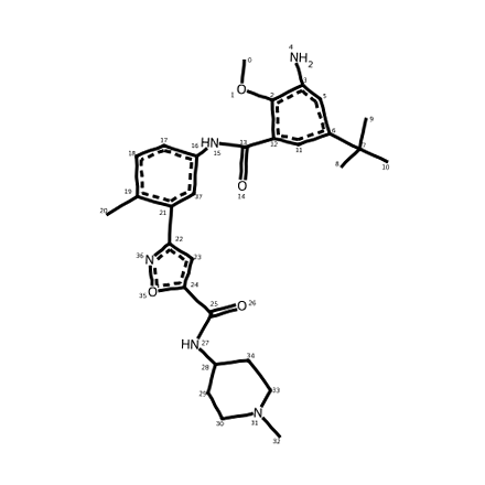 COc1c(N)cc(C(C)(C)C)cc1C(=O)Nc1ccc(C)c(-c2cc(C(=O)NC3CCN(C)CC3)on2)c1